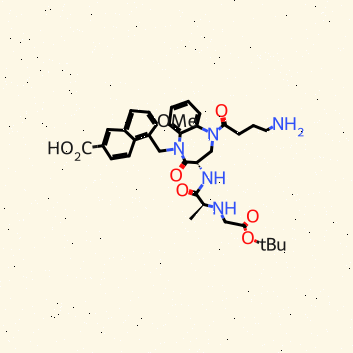 COc1ccc2cc(C(=O)O)ccc2c1CN1C(=O)[C@@H](NC(=O)[C@H](C)NCC(=O)OC(C)(C)C)CN(C(=O)CCCN)c2ccccc21